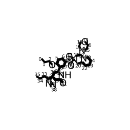 CCCOc1ccc(S(=O)(=O)N(CCN2CCOCC2)Cc2ccccn2)cc1-c1cc2c(CCC)nn(C)c2c(=O)[nH]1